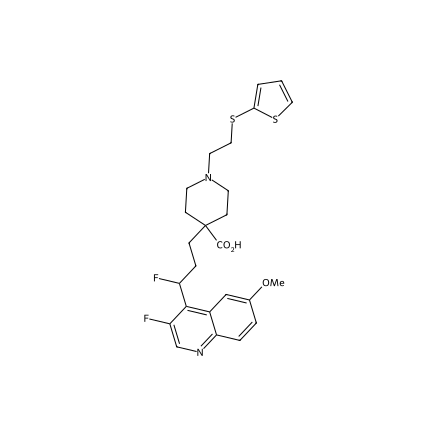 COc1ccc2ncc(F)c(C(F)CCC3(C(=O)O)CCN(CCSc4cccs4)CC3)c2c1